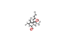 C/C=C(\C=C(C=O)/C=C/CCC)C(/C=C(C=O)\C=C\CCC)=C/C